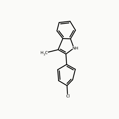 Cc1c(-c2ccc(Cl)cc2)[nH]c2ccccc12